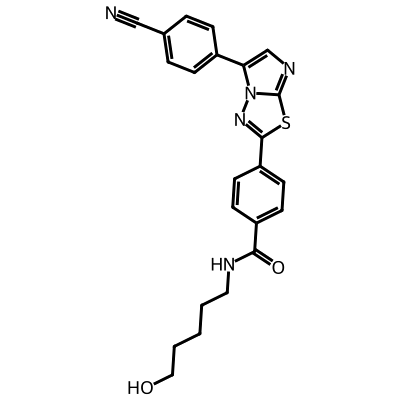 N#Cc1ccc(-c2cnc3sc(-c4ccc(C(=O)NCCCCCO)cc4)nn23)cc1